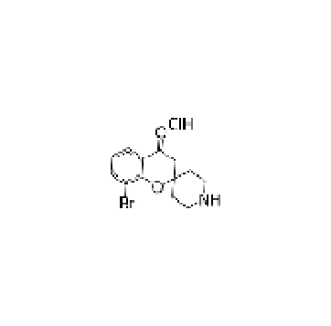 Cl.O=C1CC2(CCNCC2)Oc2c(Br)cccc21